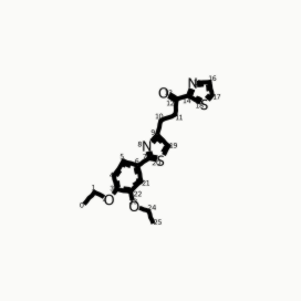 CCOc1ccc(-c2nc(CCC(=O)c3nccs3)cs2)cc1OCC